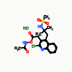 CC(=O)NOC(=O)Cc1c(Cl)nc2ccccc2c1CC(C)(C)NS(C)(=O)=O.Cl